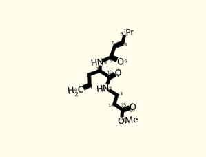 C=CCC(NC(=O)/C=C/C(C)C)C(=O)NCCC(=O)OC